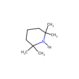 [2H]N1C(C)(C)CCCC1(C)C